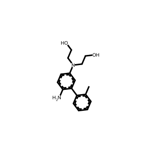 Cc1ccccc1-c1cc(N(CCO)CCO)ccc1N